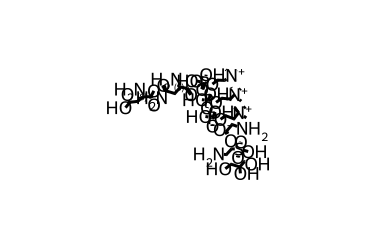 C[N+](C)(C)CCOP(=O)(O)O.C[N+](C)(C)CCOP(=O)(O)O.C[N+](C)(C)CCOP(=O)(O)O.NC(=O)C[C@H](N)C(=O)[O-].NCC(=O)[O-].NCCS(=O)(=O)O.N[C@@H](CC(=O)O)C(=O)[O-].OCC(O)CO